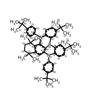 CC(C)(C)c1ccc(N2c3ccc(C(C)(C)C)cc3B3c4cc(C(C)(C)C)ccc4N(c4ccc(C(C)(C)C)cc4)c4c3c2cc2c4C(C)(C)CCC2(C)C)cc1